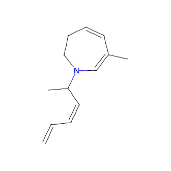 C=C/C=C\C(C)N1C=C(C)C=CCC1